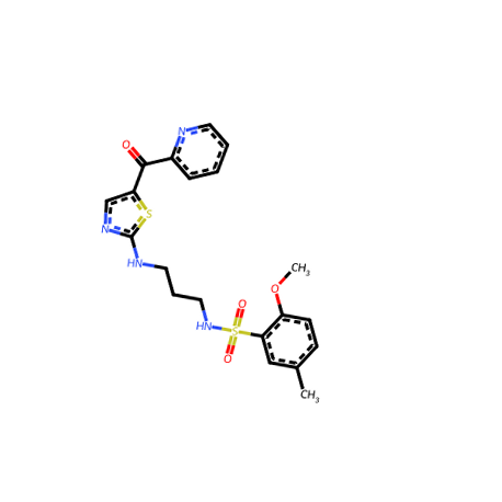 COc1ccc(C)cc1S(=O)(=O)NCCCNc1ncc(C(=O)c2ccccn2)s1